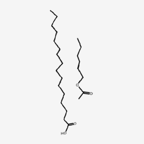 CCCCCCCCCCCCCCCC(=O)O.CCCCCCOC(C)=O